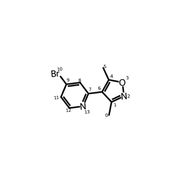 Cc1noc(C)c1-c1cc(Br)ccn1